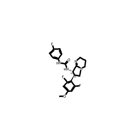 COc1cc(F)c([C@@H]2CN3CCCN=C3[C@H]2NC(=O)Nc2ccc(F)cc2)c(F)c1